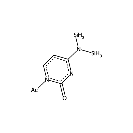 CC(=O)n1ccc(N([SiH3])[SiH3])nc1=O